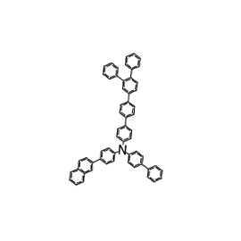 c1ccc(-c2ccc(N(c3ccc(-c4ccc(-c5ccc(-c6ccccc6)c(-c6ccccc6)c5)cc4)cc3)c3ccc(-c4ccc5ccccc5c4)cc3)cc2)cc1